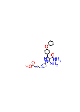 NC(=O)c1c(-c2ccc(Oc3ccccc3)cc2)nn(C2CCN(C/C=C/C(=O)O)C2)c1N